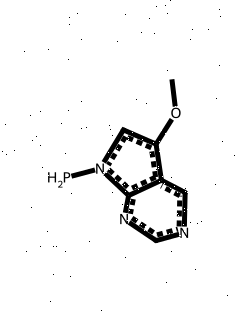 COc1cn(P)c2ncncc12